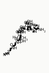 CC(C)(COP(=O)(O)OP(=O)(O)OC[C@H]1O[C@@H](n2cnc3c(N)ncnc32)[C@H](O)[C@@H]1OP(=O)(O)O)[C@@H](O)C(=O)NCCC(=O)NCCSN=[N+]=[N-]